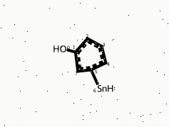 Oc1ccc[c]([SnH])c1